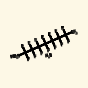 O=S(=O)(O)C(F)(F)C(F)(F)C(F)(F)C(F)(F)C(F)(F)C(F)(F)C(F)(F)C(F)(F)F.S